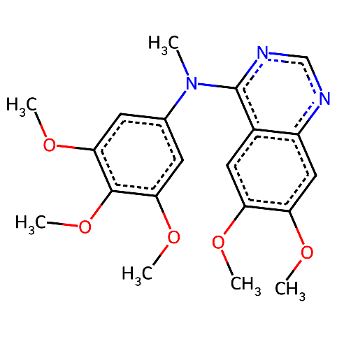 COc1cc2ncnc(N(C)c3cc(OC)c(OC)c(OC)c3)c2cc1OC